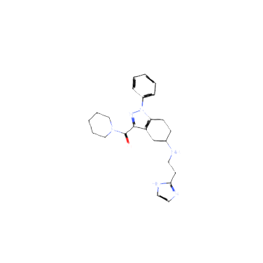 O=C(c1nn(-c2ccccc2)c2c1CC(NCCc1ncc[nH]1)CC2)N1CCCCC1